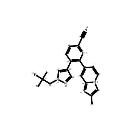 Cc1cn2ccc(-c3nc(C#N)ccc3-c3cnn(CC(C)(C)F)c3)cc2n1